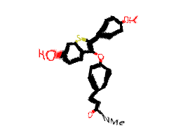 CNC(=O)/C=C/c1ccc(Oc2c(-c3ccc(O)cc3)sc3cc(O)ccc23)cc1